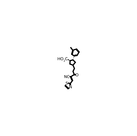 Cc1cccc([C@@H]2CC(CCC(=O)/C(C#N)=C/c3nccs3)C[C@H]2C(=O)O)c1